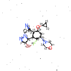 Cn1ncc(Br)c1-c1c(F)c(N2CCOCC2)cc(OC2CC2)c1C#N